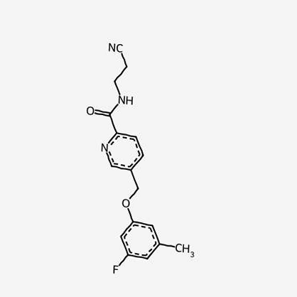 Cc1cc(F)cc(OCc2ccc(C(=O)NCCC#N)nc2)c1